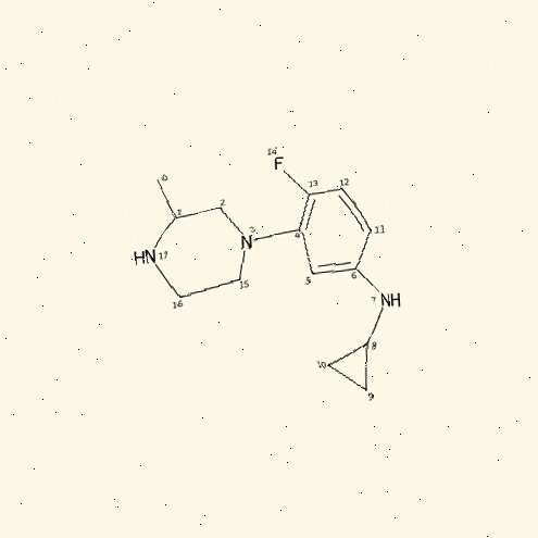 CC1CN(c2cc(NC3CC3)ccc2F)CCN1